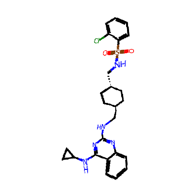 O=S(=O)(NC[C@H]1CC[C@H](CNc2nc(NC3CC3)c3ccccc3n2)CC1)c1ccccc1Cl